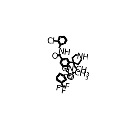 CC(=O)[N+]1(S(=O)(=O)c2cccc(C(F)(F)F)c2)c2ccc(C(=O)NCc3ccccc3Cl)cc2C2(CCNCC2)C1C